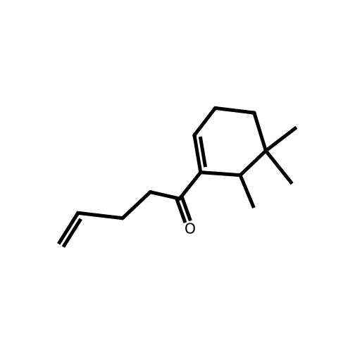 C=CCCC(=O)C1=CCCC(C)(C)C1C